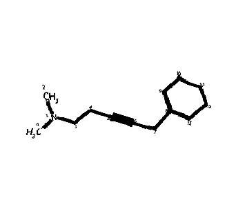 CN(C)CCC#CCC1CC[CH]CC1